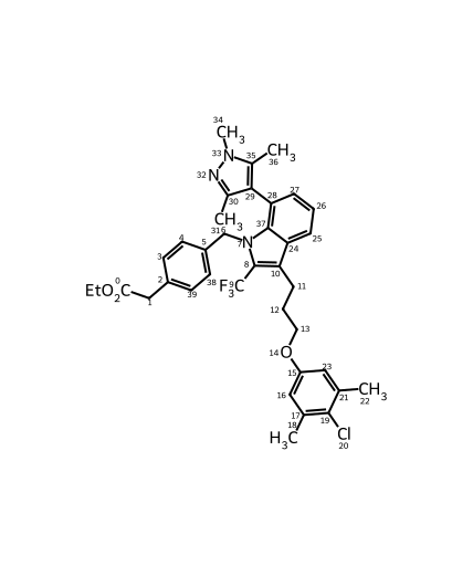 CCOC(=O)Cc1ccc(Cn2c(C(F)(F)F)c(CCCOc3cc(C)c(Cl)c(C)c3)c3cccc(-c4c(C)nn(C)c4C)c32)cc1